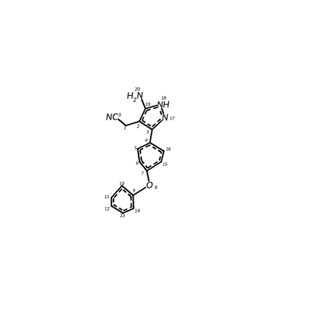 N#CCc1c(-c2ccc(Oc3ccccc3)cc2)n[nH]c1N